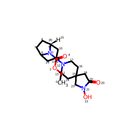 CCOC(=O)N1C2CC[C@@H]1CC(N1CCC3(CC1)CC(=O)N(O)C3)C2